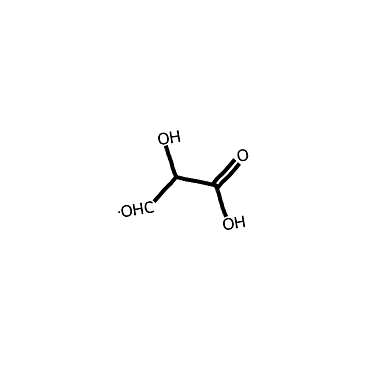 O=[C]C(O)C(=O)O